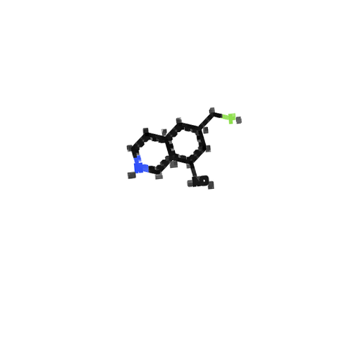 O=[N+]([O-])c1cc(CF)cc2ccncc12